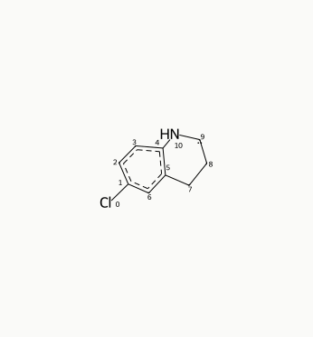 Clc1ccc2c(c1)CC[C]N2